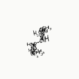 COC(=O)N[C@@H](C(=O)N1CC[C@H]1c1nc2cc(C#Cc3ccc4[nH]c([C@@H]5CCN5C(=O)[C@H](NC(=O)OC)C(C)C)nc4c3)ccc2[nH]1)C(C)C